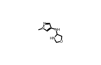 Cn1cc(NC2COCN2)cn1